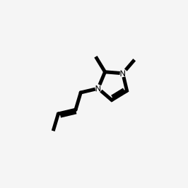 CC=CCN1C=CN(C)C1C